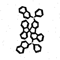 c1ccc(N(c2ccc3c(c2)C2(c4ccccc4-c4ccccc42)c2cc(N(c4ccccc4)c4ccc5ccccc5c4)c4ccccc4c2-3)c2ccc3ccccc3c2)cc1